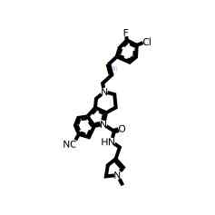 CN1C=C(CNC(=O)n2c3c(c4ccc(C#N)cc42)CN(C/C=C/c2ccc(Cl)c(F)c2)CC3)CC1